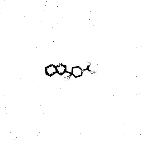 O=C(O)N1CCC(O)(c2cnc3ccccc3c2)CC1